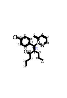 C=C1C=CC=NN1/C(=C(\CCC)C(=O)CCC)c1ccc(Cl)cc1